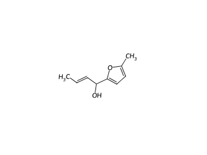 CC=CC(O)c1ccc(C)o1